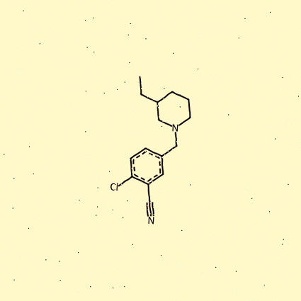 CCC1CCCN(Cc2ccc(Cl)c(C#N)c2)C1